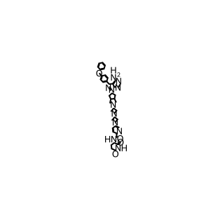 Nc1ncnc2c1c(-c1ccc(Oc3ccccc3)cc1)nn2C1CC2CN(C3CN(C4CN(c5ccc(C(=O)NC6CCC(=O)NC6=O)nc5)C4)C3)CC2C1